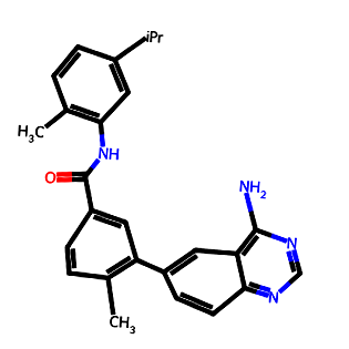 Cc1ccc(C(C)C)cc1NC(=O)c1ccc(C)c(-c2ccc3ncnc(N)c3c2)c1